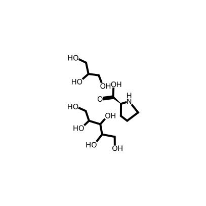 O=C(O)[C@@H]1CCCN1.OCC(O)C(O)C(O)CO.OCC(O)CO